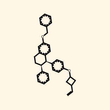 C=CC1CC(Oc2ccc([C@@H]3c4ccc(OCc5ccccc5)cc4CC[C@@H]3c3ccccc3)cc2)C1